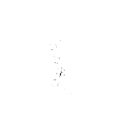 O=C(O)c1cccc(-n2cc(-c3ccc(-c4cccc5c4OCCO5)cc3)nn2)c1